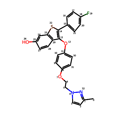 Cc1ccn(CCOc2ccc(Oc3c(-c4ccc(F)cc4)sc4cc(O)ccc34)cc2)n1